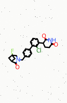 O=C1CCC(c2cccc(-c3ccc(CN4CC5(F)CC(C5)C4=O)cc3)c2Cl)C(=O)N1